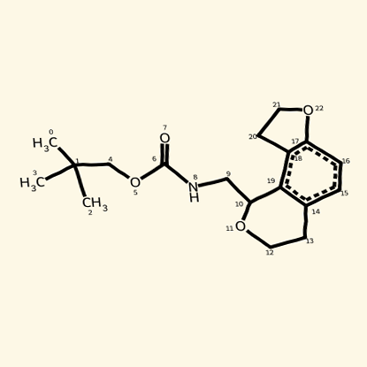 CC(C)(C)COC(=O)NCC1OCCc2ccc3c(c21)CCO3